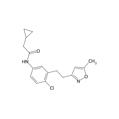 Cc1cc(CCc2cc(NC(=O)CC3CC3)ccc2Cl)no1